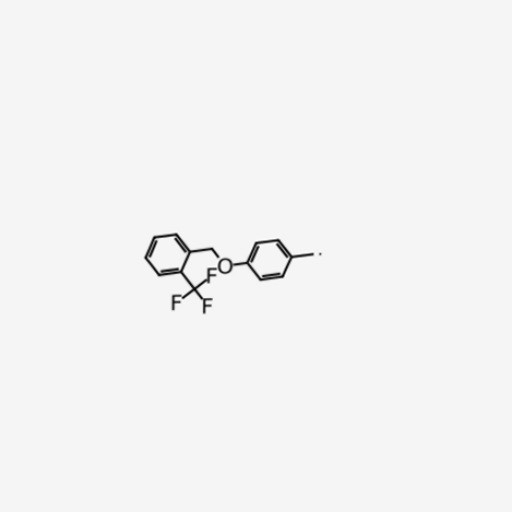 [CH2]c1ccc(OCc2ccccc2C(F)(F)F)cc1